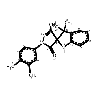 CC1=NN(c2ccc(C)c(C)c2)C(=O)C12Nc1ccccc1C2(C)C